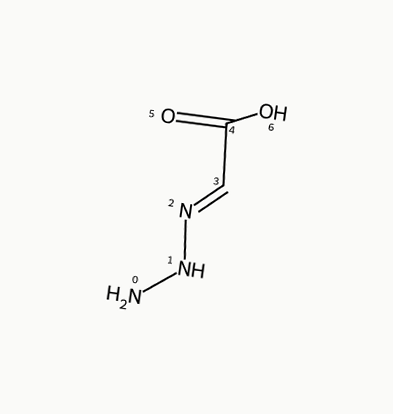 NNN=CC(=O)O